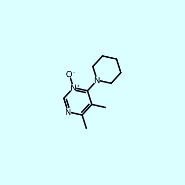 Cc1nc[n+]([O-])c(N2CCCCC2)c1C